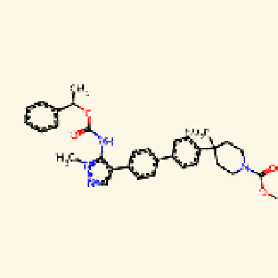 C[C@@H](OC(=O)Nc1c(-c2ccc(-c3ccc(C4(C(=O)O)CCN(C(=O)OC(C)(C)C)CC4)cc3)cc2)cnn1C)c1ccccc1